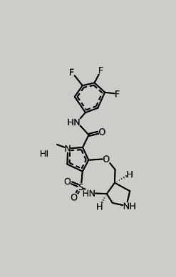 Cn1cc2c(c1C(=O)Nc1cc(F)c(F)c(F)c1)OC[C@H]1CNC[C@H]1NS2(=O)=O.I